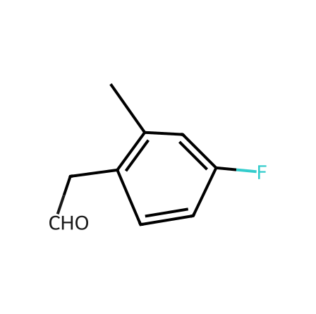 Cc1cc(F)ccc1CC=O